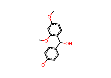 COc1ccc(C(O)c2ccc([O])cc2)c(OC)c1